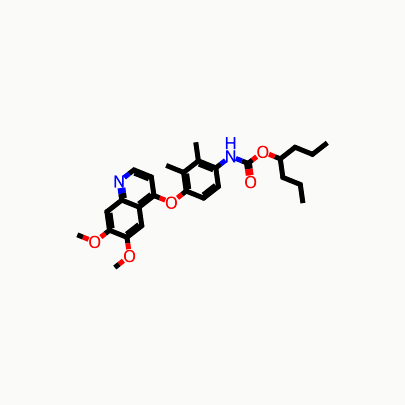 CCCC(CCC)OC(=O)Nc1ccc(Oc2ccnc3cc(OC)c(OC)cc23)c(C)c1C